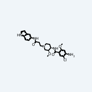 COc1cc(N)c(Cl)cc1C(=O)N[C@@H]1CCN(CCC(=O)Nc2ccc3[nH]ccc3c2)C[C@@H]1OC